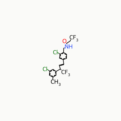 Cc1cc(Cl)cc(C(/C=C/c2ccc(CNC(=O)CC(F)(F)F)c(Cl)c2)C(F)(F)F)c1